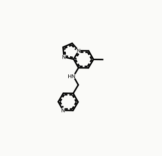 Cc1cc(NCc2ccncc2)c2nccn2c1